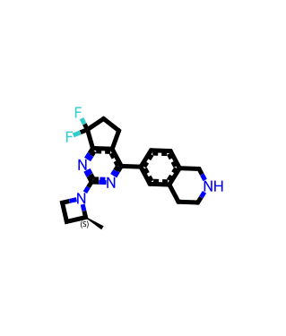 C[C@H]1CCN1c1nc(-c2ccc3c(c2)CCNC3)c2c(n1)C(F)(F)CC2